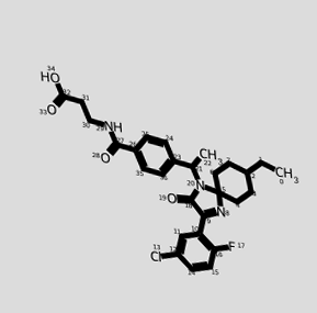 CCC1CCC2(CC1)N=C(c1cc(Cl)ccc1F)C(=O)N2C(C)c1ccc(C(=O)NCCC(=O)O)cc1